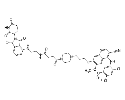 COc1cc(Nc2c(C#N)cnc3cc(OCCCN4CCN(C(=O)CCC(=O)NCCNc5cccc6c5C(=O)N(C5CCC(=O)NC5=O)C6=O)CC4)c(OC)cc23)c(Cl)cc1Cl